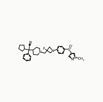 Cn1cc([S+]([O-])c2ccc(N3CC(F)(CN4CCC(C(C#N)(c5ccccc5)C5CCCC5)CC4)C3)cc2)cn1